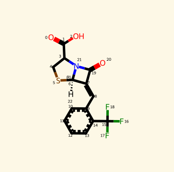 O=C(O)C1CS[C@@H]2C(=Cc3ccccc3C(F)(F)F)C(=O)N12